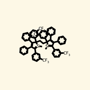 C[Si]1=C(c2cccc(C(F)(F)F)c2)C(c2ccccc2)=C(c2ccccc2)C1(CCC1(c2cccc(C(F)(F)F)c2)C(c2ccccc2)=C(c2ccccc2)C(c2cccc(C(F)(F)F)c2)=[Si]1C)c1cccc(C(F)(F)F)c1